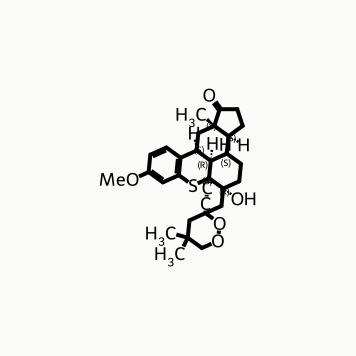 COc1ccc2c(c1)S[C@]13CCC4(CC(C)(C)COO4)C[C@]1(O)CC[C@@H]1[C@@H]3[C@@H]2C[C@]2(C)C(=O)CC[C@@H]12